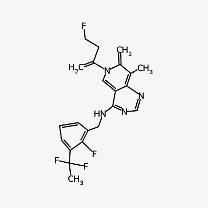 C=C(CCF)N1C=c2c(NCc3cccc(C(C)(F)F)c3F)ncnc2=C(C)C1=C